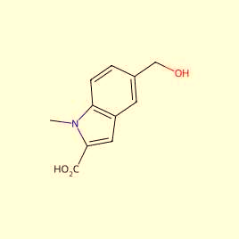 Cn1c(C(=O)O)cc2cc(CO)ccc21